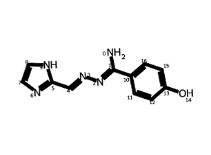 N/C(=N\N=C\c1ncc[nH]1)c1ccc(O)cc1